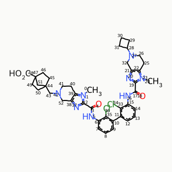 Cn1c(C(=O)Nc2cccc(-c3cccc(NC(=O)c4nc5c(n4C)CCN(C4CCC4)C5)c3Cl)c2Cl)nc2c1CCN(CC13CCC(C(=O)O)(CC1)C3)C2